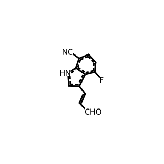 N#Cc1ccc(F)c2c(/C=C/C=O)c[nH]c12